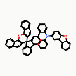 c1ccc(N(c2ccc3oc4ccccc4c3c2)c2ccccc2-c2ccc3c(c2)C2(c4ccccc4-3)c3ccc4ccccc4c3Oc3c2ccc2ccccc32)cc1